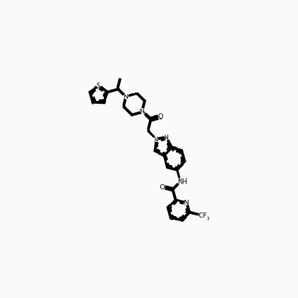 CC(c1cccs1)N1CCN(C(=O)Cn2cc3cc(NC(=O)c4cccc(C(F)(F)F)n4)ccc3n2)CC1